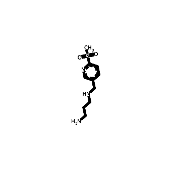 CS(=O)(=O)c1ccc(CNCCCN)cn1